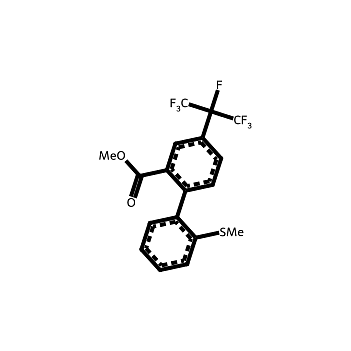 COC(=O)c1cc(C(F)(C(F)(F)F)C(F)(F)F)ccc1-c1ccccc1SC